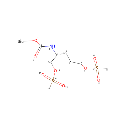 CC(C)(C)OC(=O)N[C@H](CCCOS(C)(=O)=O)COS(C)(=O)=O